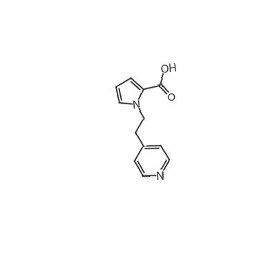 O=C(O)c1cccn1CCc1ccncc1